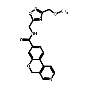 COCc1noc(CNC(=O)c2ccc3c(c2)OCc2cnccc2-3)n1